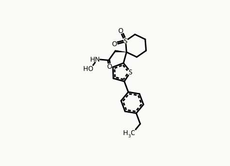 CCc1ccc(-c2ccc([C@@]3(CC(=O)NO)CCCCS3(=O)=O)s2)cc1